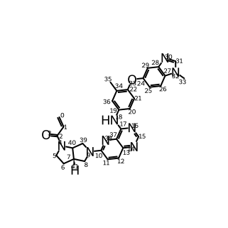 C=CC(=O)N1CC[C@H]2CN(c3ccc4ncnc(Nc5ccc(Oc6ccc7c(c6)ncn7C)c(C)c5)c4n3)CC21